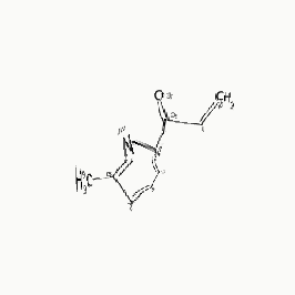 C=CC(=O)c1cccc(C)n1